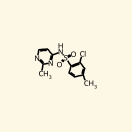 Cc1ccc(S(=O)(=O)Nc2ccnc(C)n2)c(Cl)c1